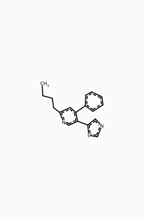 CCCCc1cc(-c2ccccc2)c(-c2cncs2)[c]n1